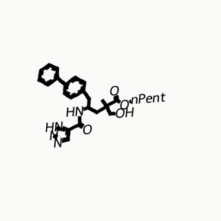 CCCCCOC(=O)C(C)(CO)CC(Cc1ccc(-c2ccccc2)cc1)NC(=O)c1cnn[nH]1